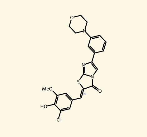 COc1cc(/C=c2\sc3nc(-c4cccc(N5CCOCC5)c4)cn3c2=O)cc(Cl)c1O